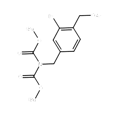 CC(=O)OCc1ccc(CN(C(=O)OC(C)(C)C)C(=O)OC(C)(C)C)cc1Br